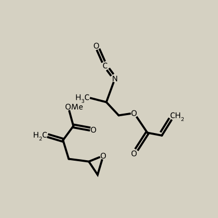 C=C(CC1CO1)C(=O)OC.C=CC(=O)OCC(C)N=C=O